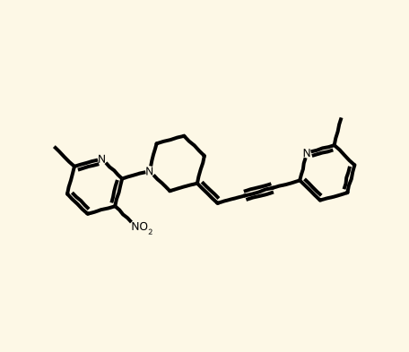 Cc1cccc(C#CC=C2CCCN(c3nc(C)ccc3[N+](=O)[O-])C2)n1